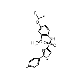 COc1cc(OC(F)F)ccc1NS(=O)(=O)c1csc(-c2ccc(F)cc2)n1